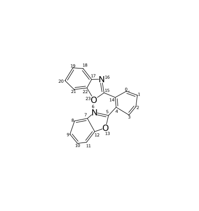 [c]1cccc(-c2nc3ccccc3o2)c1-c1nc2ccccc2o1